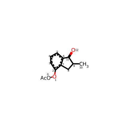 CC(=O)OOc1cccc2c1CC(C)C2=O